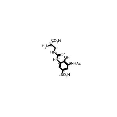 CC(=O)Nc1cc(S(=O)(=O)O)cc(NC(=O)NC[C@H](N)C(=O)O)c1O